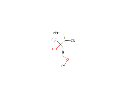 CCCSC(C#N)C(O)(C=COCC)C(F)(F)F